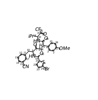 COc1ccc(C(NC(=O)C(Cc2cccc(C#N)c2)NC(=O)c2ccc(Br)s2)C(=O)NC(C(=O)C(F)(F)F)C(C)C)cc1